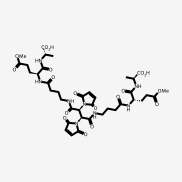 COC(=O)CC[C@H](NC(=O)CCCNC(=O)[C@H]([C@@H](C(=O)NCCCC(=O)N[C@@H](CCC(=O)OC)C(=O)N[C@@H](C)C(=O)O)N1C(=O)C=CC1=O)N1C(=O)C=CC1=O)C(=O)N[C@@H](C)C(=O)O